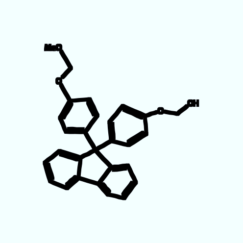 COCOc1ccc(C2(c3ccc(OCO)cc3)c3ccccc3-c3ccccc32)cc1